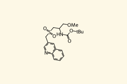 COCC(CS(=O)(=O)Cc1cnc2ccccc2c1)NC(=O)OC(C)(C)C